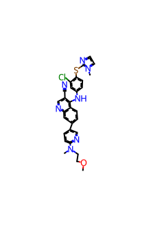 COCCN(C)c1ccc(-c2ccc3c(Nc4ccc(Sc5nccn5C)c(Cl)c4)c(C#N)cnc3c2)cn1